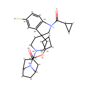 O=C(C1CC1)N1CC2(CCN(C3CC4CCC(C3)N4C(=O)OC3CCC3)CC2)c2cc(F)ccc21